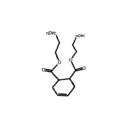 CCCCCCCCCCCCOC(=O)C1CC=CCC1C(=O)OCCCCCCCCCCCC